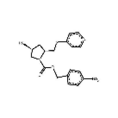 O=C(OCc1ccc([N+](=O)[O-])cc1)N1C[C@@H](S)C[C@H]1CSc1ccncc1